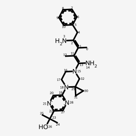 CC(=C(/N)Cc1ccccc1)/C(C)=C(\N)N1CCN(c2cnc(C(C)(C)O)cn2)C2(CC2)C1